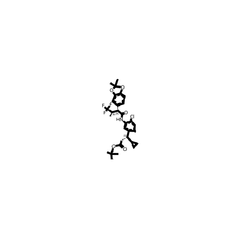 C[C@H]([C@@H](C(=O)Nc1cc([C@@H](CC(=O)OC(C)(C)C)C2CC2)ccc1Cl)c1ccc2c(c1)OC(C)(C)O2)C(F)(F)F